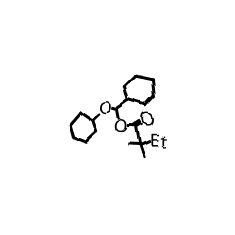 CCC(C)(C)C(=O)OC(OC1CCCCC1)C1CCCCC1